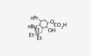 CCCCc1c(CCC)cc(OC(=O)O)c(O)c1C[Si](CC)(CC)CC